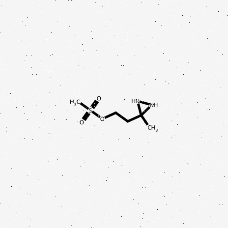 CC1(CCOS(C)(=O)=O)NN1